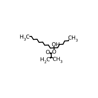 C=C(C)C(=O)OC(O)(CCCCCC)CCCCCCCCC